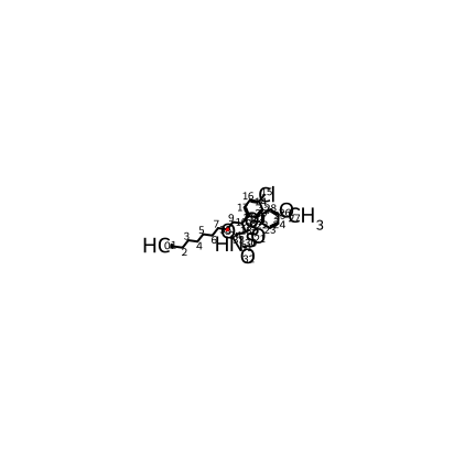 C#CCCCCCCCCC(c1ccc(Cl)cc1)C1(S(=O)(=O)c2ccc(OC)cc2)SC(=O)NC1=O